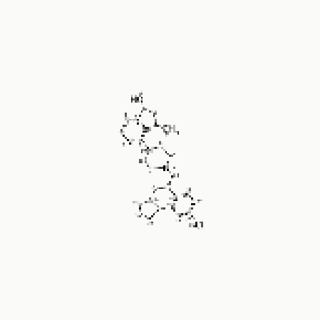 C[C@@H]1C[C@@H](O)c2ncnc(N3CCN(CC(CN4CCCC4)c4ccc(Cl)cc4)CC3)c21